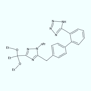 CCCn1nc(C(CC)(OCC)OCC)nc1Cc1ccc(-c2ccccc2-c2nnn[nH]2)cc1